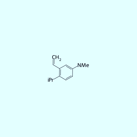 C=Cc1cc(NC)ccc1C(C)C